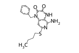 CCCCSc1cc2c([nH]c(=O)c(=O)n2Cc2ccccc2)c(N)n1